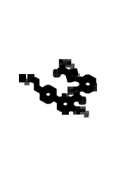 NCCc1ccc(-c2cnc(N)c(C(=O)Nc3cnccc3N3CC(C(N)=O)C3)n2)cc1